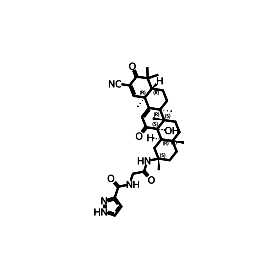 CC1(C)C(=O)C(C#N)=C[C@]2(C)C3=CC(=O)[C@]4(O)[C@@H]5C[C@@](C)(NC(=O)CNC(=O)c6cc[nH]n6)CC[C@@]5(C)CC[C@@]4(C)[C@]3(C)CC[C@@H]12